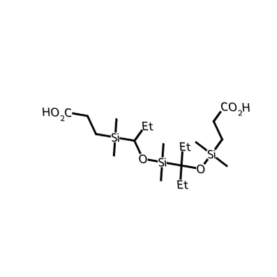 CCC(O[Si](C)(C)C(CC)(CC)O[Si](C)(C)CCC(=O)O)[Si](C)(C)CCC(=O)O